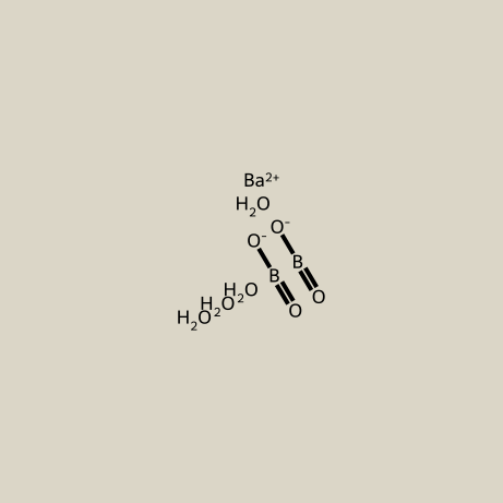 O.O.O.O.O=B[O-].O=B[O-].[Ba+2]